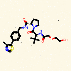 Cc1ncsc1-c1ccc(CNC(=O)[C@@H]2CCCN2C(=O)[C@@H](NC(=O)COCCO)C(C)(C)C)cc1